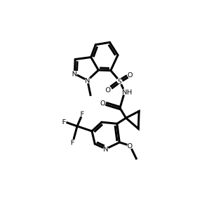 COc1ncc(C(F)(F)F)cc1C1(C(=O)NS(=O)(=O)c2cccc3cnn(C)c23)CC1